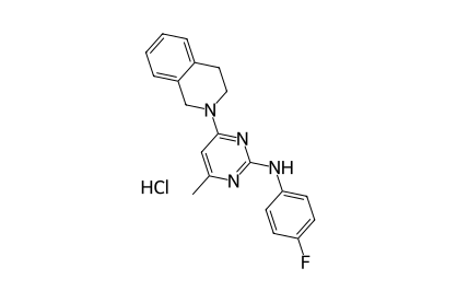 Cc1cc(N2CCc3ccccc3C2)nc(Nc2ccc(F)cc2)n1.Cl